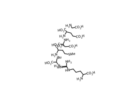 CCC(C)C(N)C(=O)O.CSCCC(N)C(=O)O.N=C(N)NCCCC(N)C(=O)O.NC(CC(=O)O)C(=O)O.NC(CCC(=O)O)C(=O)O.NCC(=O)O